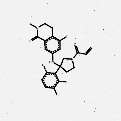 C=CC(=O)N1CCC(Nc2cc(F)c3c(c2)C(=O)N(C)CC3)(c2c(F)ccc(Cl)c2Cl)C1